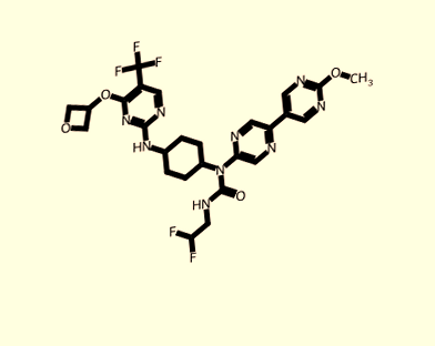 COc1ncc(-c2cnc(N(C(=O)NCC(F)F)C3CCC(Nc4ncc(C(F)(F)F)c(OC5COC5)n4)CC3)cn2)cn1